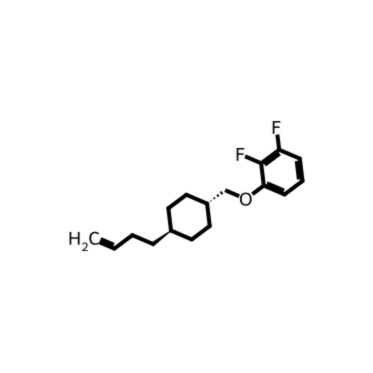 C=CCC[C@H]1CC[C@H](COc2cccc(F)c2F)CC1